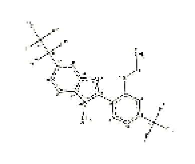 CCSc1cc(C(F)(F)F)cnc1-c1nc2cc(C(F)(F)C(F)(F)F)ccc2n1C